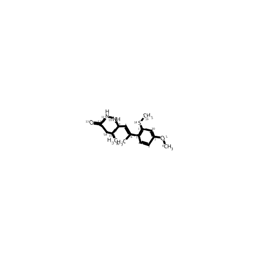 COc1ccc(/C(C)=C/C2NNC(=O)CC2C)c(SC)c1